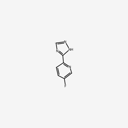 Fc1ccc(-c2n[c]n[nH]2)nc1